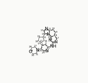 Cc1cc(Nc2ncc3ccc4ncc(C5CCCC5)n4c3n2)ncc1N1CCOCC1